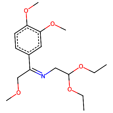 CCOC(C/N=C(/COC)c1ccc(OC)c(OC)c1)OCC